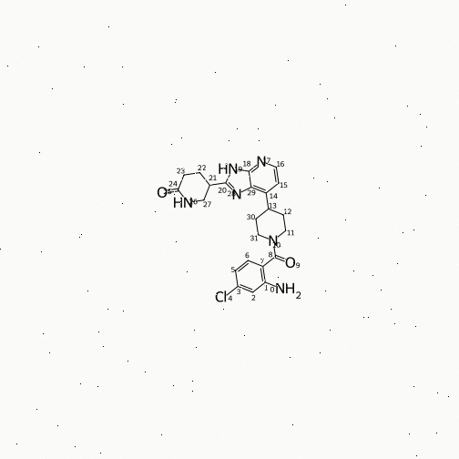 Nc1cc(Cl)ccc1C(=O)N1CCC(c2ccnc3[nH]c(C4CCC(=O)NC4)nc23)CC1